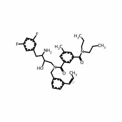 C/C=C\c1cccc(CN(CC(O)C(N)Cc2cc(F)cc(F)c2)C(=O)c2cc(C)cc(C(=O)N(CCC)CCC)c2)c1